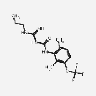 CCCNC(=N)NC(=O)Nc1c(C)ccc(OC(F)(F)F)c1C